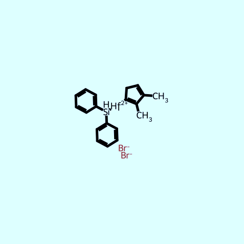 CC1=CC[C]([Hf+2][SiH](c2ccccc2)c2ccccc2)=C1C.[Br-].[Br-]